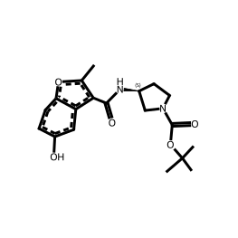 Cc1oc2ccc(O)cc2c1C(=O)N[C@H]1CCN(C(=O)OC(C)(C)C)C1